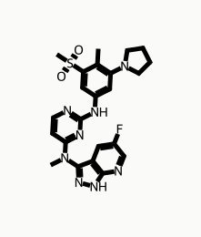 Cc1c(N2CCCC2)cc(Nc2nccc(N(C)c3n[nH]c4ncc(F)cc34)n2)cc1S(C)(=O)=O